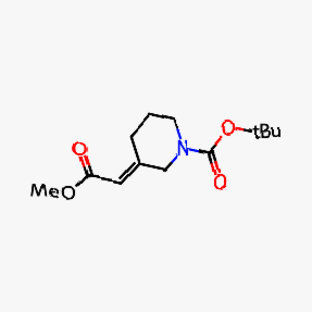 COC(=O)C=C1CCCN(C(=O)OC(C)(C)C)C1